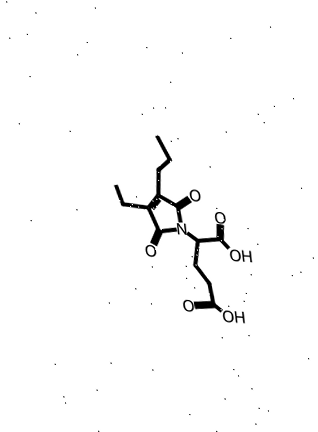 CCCC1=C(CC)C(=O)N(C(CCC(=O)O)C(=O)O)C1=O